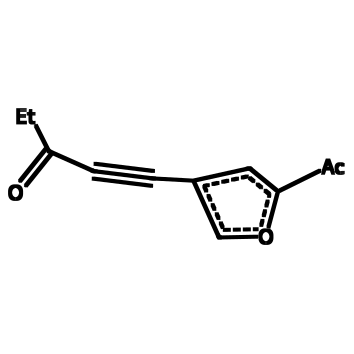 CCC(=O)C#Cc1coc(C(C)=O)c1